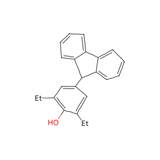 CCc1cc(C2c3ccccc3-c3ccccc32)cc(CC)c1O